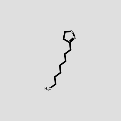 CCCCCCCCC1=NSCC1